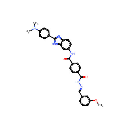 COc1cccc(C=NNC(=O)c2ccc(C(=O)Nc3ccc4nc(-c5ccc(N(C)C)cc5)[nH]c4c3)cc2)c1